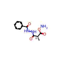 C[C@@H](C(=O)NNC(=O)c1ccccc1)C(=O)ON